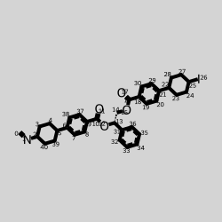 C=NC1CCC(c2ccc(C(=O)O[C@H](COC(=O)c3ccc(C4CCC(I)CC4)cc3)c3ccccc3)cc2)CC1